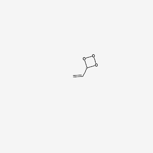 C=C[C]1OOO1